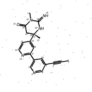 CC#Cc1cncc(-c2cc([C@]3(C)CC(=O)N(C)C(=N)N3)ccn2)c1